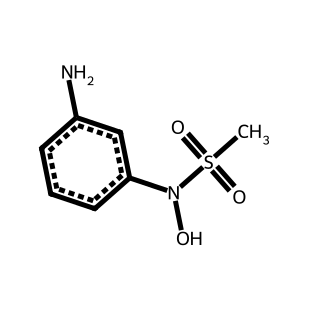 CS(=O)(=O)N(O)c1cccc(N)c1